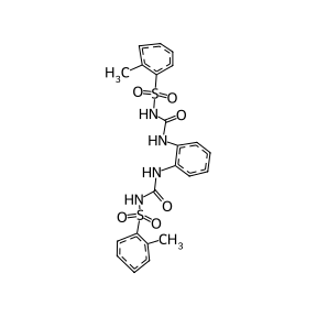 Cc1ccccc1S(=O)(=O)NC(=O)Nc1ccccc1NC(=O)NS(=O)(=O)c1ccccc1C